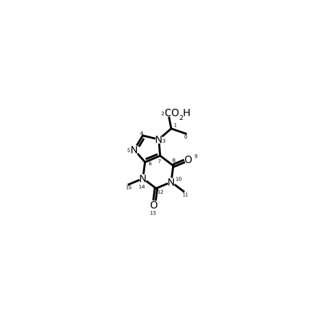 CC(C(=O)O)n1cnc2c1c(=O)n(C)c(=O)n2C